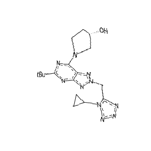 CC(C)(C)c1nc(N2CC[C@H](O)C2)c2nn(Cc3nnnn3C3CC3)nc2n1